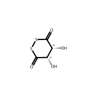 O=C1SSC(=O)[C@H](O)[C@@H]1O